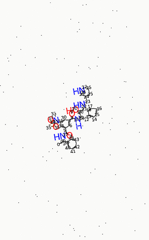 C[C@@H](NC(=O)c1cc(C(=O)N[C@@H](Cc2ccccc2)[C@H](O)CNCC2CCCNC2)cc(N(C)S(C)(=O)=O)c1)c1ccccc1